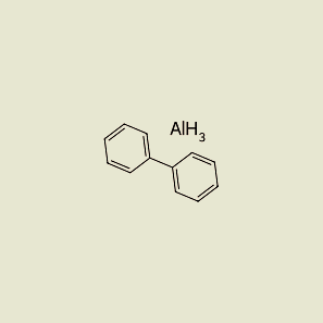 [AlH3].c1ccc(-c2ccccc2)cc1